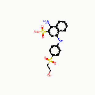 Nc1c(S(=O)(=O)O)cc(Nc2ccc(S(=O)(=O)CCO)cc2)c2ccccc12